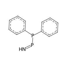 N=PP(c1ccccc1)c1ccccc1